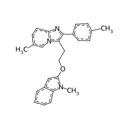 Cc1ccc(-c2nc3ccc(C)cn3c2CCOc2cc3ccccc3n2C)cc1